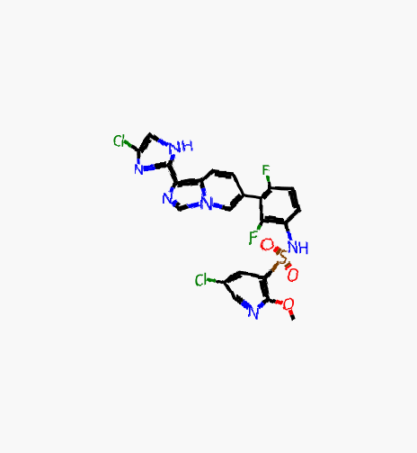 COc1ncc(Cl)cc1S(=O)(=O)Nc1ccc(F)c(-c2ccc3c(-c4nc(Cl)c[nH]4)ncn3c2)c1F